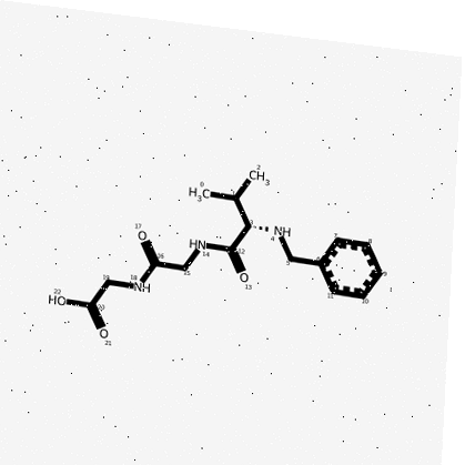 CC(C)[C@H](NCc1ccccc1)C(=O)NCC(=O)NCC(=O)O